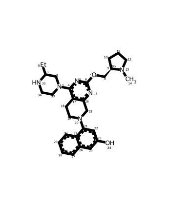 CCC1CN(c2nc(OC[C@H]3CCCN3C)nc3c2CCN(c2cc(O)cc4ccccc24)C3)CCN1